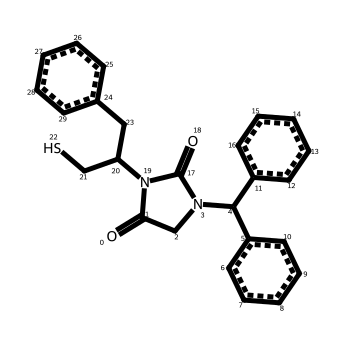 O=C1CN(C(c2ccccc2)c2ccccc2)C(=O)N1C(CS)Cc1ccccc1